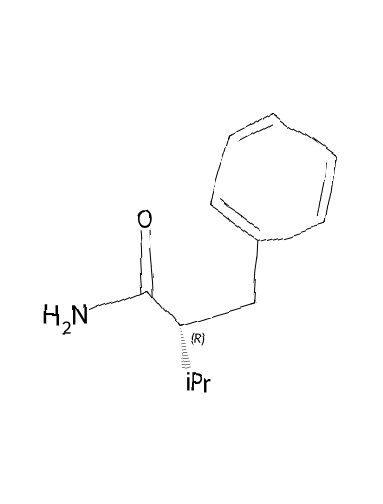 CC(C)[C@@H](Cc1ccccc1)C(N)=O